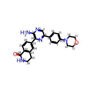 Nc1ncc(-c2ccc(N3CCOCC3)cc2)nc1-c1ccc2c(c1)CCNC2=O